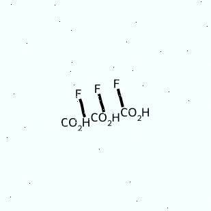 O=C(O)F.O=C(O)F.O=C(O)F